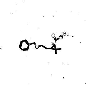 CC(C)(C)OC(=O)[C@H]1[C](CCOCc2ccccc2)C1(C)C